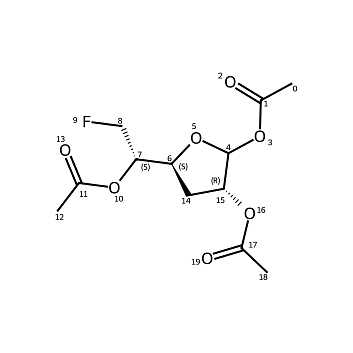 CC(=O)OC1O[C@H]([C@@H](CF)OC(C)=O)C[C@H]1OC(C)=O